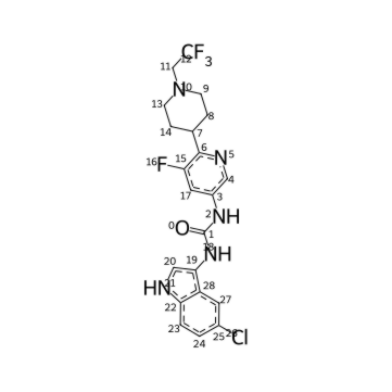 O=C(Nc1cnc(C2CCN(CC(F)(F)F)CC2)c(F)c1)Nc1c[nH]c2ccc(Cl)cc12